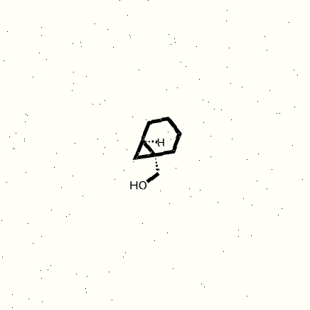 OC[C@@]12CCCC[C@@H]1C2